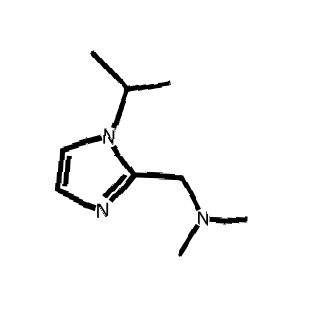 CC(C)n1ccnc1CN(C)C